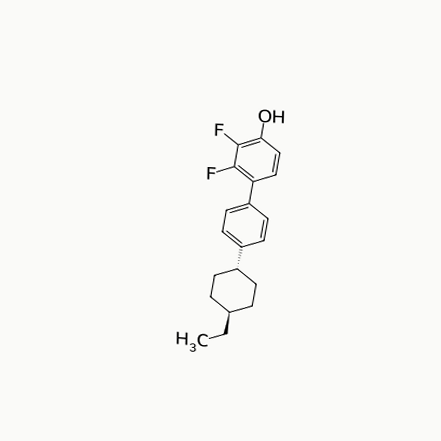 CC[C@H]1CC[C@H](c2ccc(-c3ccc(O)c(F)c3F)cc2)CC1